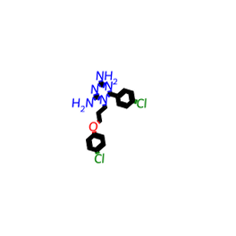 NC1=NC(c2ccc(Cl)cc2)N(CCCOc2ccc(Cl)cc2)C(N)=N1